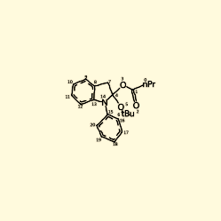 CCCC(=O)OC1(OC(C)(C)C)Cc2ccccc2N1c1ccccc1